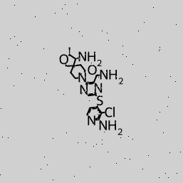 C[C@@H]1OCC2(CCN(c3ncc(Sc4ccnc(N)c4Cl)nc3C(N)=O)CC2)[C@@H]1N